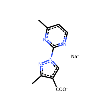 Cc1ccnc(-n2cc(C(=O)[O-])c(C)n2)n1.[Na+]